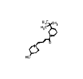 CC(C)(C)C1CCCN(C(=O)/C=C/CN2CCC(O)CC2)C1